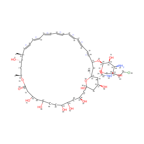 C[C@H]1C[C@H](O)[C@@H](C)/C=C/C=C/C=C/C=C/C=C/C=C/C=C/C(O[C@@H]2OC[C@@H](O)[C@H](N)[C@@H]2O)C[C@@H]2OC(O)(C[C@@H](O)CC(O)C(O)CCC(O)CC(O)CC(=O)O1)C[C@H](O)[C@H]2C(=O)NCCCCl